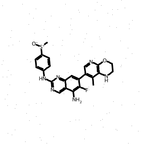 Cc1c(-c2cc3nc(Nc4ccc([S+](C)[O-])cc4)ncc3c(N)c2F)cnc2c1NCCO2